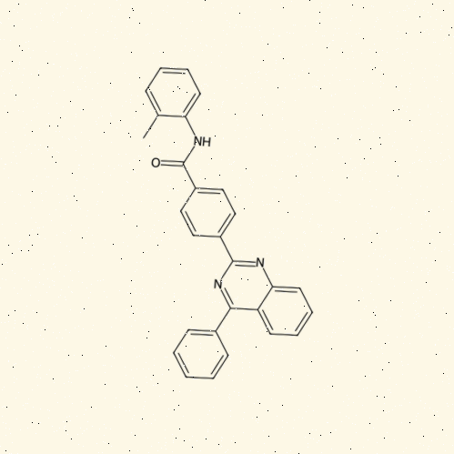 Cc1ccccc1NC(=O)c1ccc(-c2nc(-c3ccccc3)c3ccccc3n2)cc1